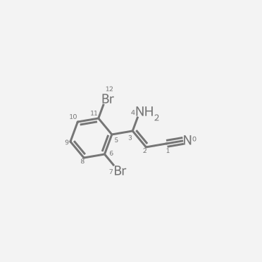 N#C/C=C(\N)c1c(Br)cccc1Br